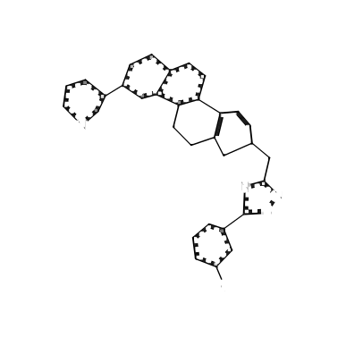 Clc1cccc(-c2nc(CC3C=CC4=C(CCc5c4ccc4ccc(-c6cccnc6)cc54)C3)no2)c1